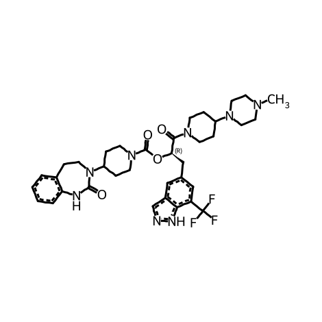 CN1CCN(C2CCN(C(=O)[C@@H](Cc3cc(C(F)(F)F)c4[nH]ncc4c3)OC(=O)N3CCC(N4CCc5ccccc5NC4=O)CC3)CC2)CC1